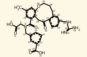 Cc1cc2c(c(C(=O)N(CC(=O)O)Cc3cccc(C(=O)O)c3)c1)[CH]C(=O)c1ccc(NC(=N)N)cc1CCCO2